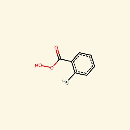 O=C(OO)c1cccc[c]1[Hg]